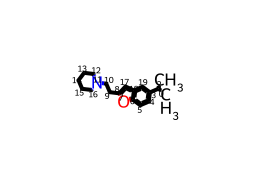 CC(C)c1ccc2oc(CCN3CCCCC3)cc2c1